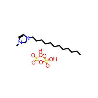 CCCCCCCCCCCCN1C=CN(C)C1.O=S(=O)(O)OS(=O)(=O)O